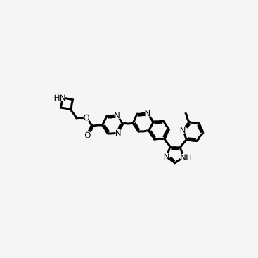 Cc1cccc(-c2[nH]cnc2-c2ccc3ncc(-c4ncc(C(=O)OCC5CNC5)cn4)cc3c2)n1